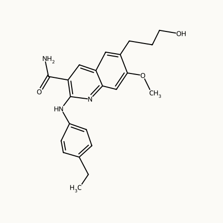 CCc1ccc(Nc2nc3cc(OC)c(CCCO)cc3cc2C(N)=O)cc1